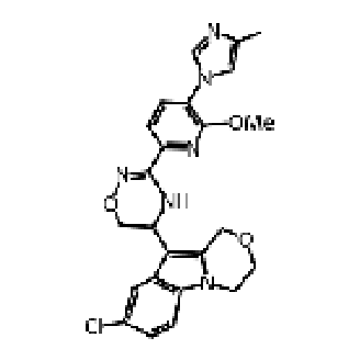 COc1nc(C2=NOCC(c3c4n(c5ccc(Cl)cc35)CCOC4)N2)ccc1-n1cnc(C)c1